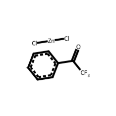 O=C(c1cc[c]cc1)C(F)(F)F.[Cl][Zn][Cl]